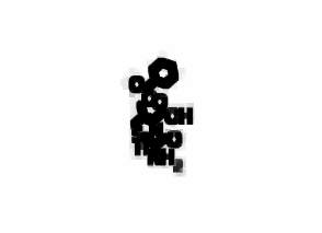 NC1C(=O)N2C(C(=O)O)=C(COC(=O)C3CCCCC3)CS[C@H]12